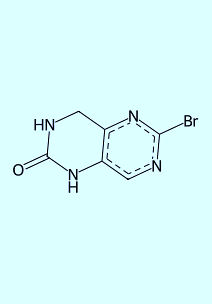 O=C1NCc2nc(Br)ncc2N1